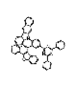 c1ccc(-c2nc(-c3ccccc3)nc(-c3ccc(-n4c5ccccc5c5cc6ccccc6cc54)c(-c4cc5ccccc5c5oc6ccccc6c45)c3)n2)cc1